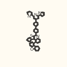 c1ccc(-c2cc(-c3ccc(-c4ccc(-c5nc6cccc(-c7cccc8oc9ccccc9c78)c6c6c5sc5ccccc56)cc4)cc3)cc(-c3ccccn3)n2)nc1